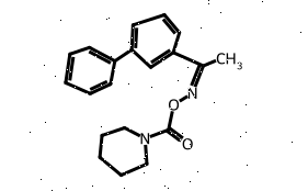 CC(=NOC(=O)N1CCCCC1)c1cccc(-c2ccccc2)c1